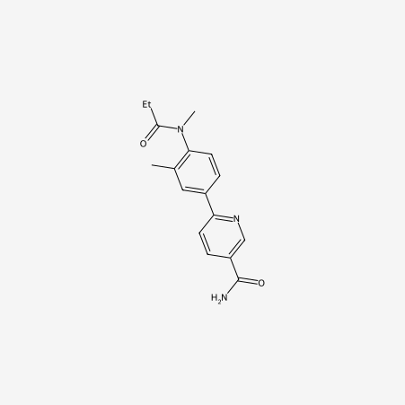 CCC(=O)N(C)c1ccc(-c2ccc(C(N)=O)cn2)cc1C